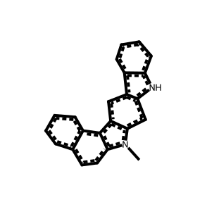 Cn1c2cc3[nH]c4ccccc4c3cc2c2c3ccccc3ccc21